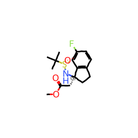 COC(=O)C[C@@]1(N[S+]([O-])C(C)(C)C)CCc2ccc(F)cc21